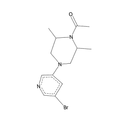 CC(=O)N1C(C)CN(c2cncc(Br)c2)CC1C